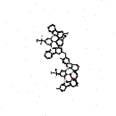 Cc1ccc2c(c1)c1ccccc1n2-c1cc(C(F)(F)F)cc(-n2c3ccccc3c3cc(Cc4cc5c6ccccc6n(-c6cc(C(F)(F)F)cc(-n7c8ccccc8c8ccc(C)cc87)c6-c6cccc(C#N)c6)c5cc4C)ccc32)c1-c1cccc(C#N)c1